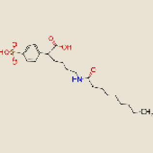 CCCCCCCCC(=O)NCCCCC(C(=O)O)c1ccc(S(=O)(=O)O)cc1